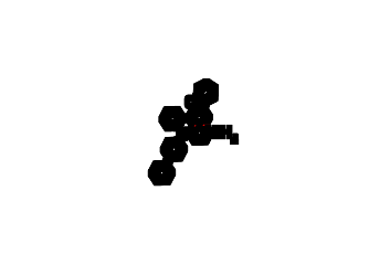 Bc1ccc(N(c2ccc(-c3ccccc3)cc2)c2ccccc2-c2cccc3c2oc2ccccc23)cc1